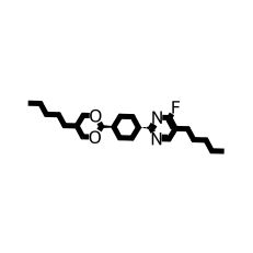 CCCCCc1cnc([C@H]2CC[C@H](C3OCC(CCCCC)CO3)CC2)nc1F